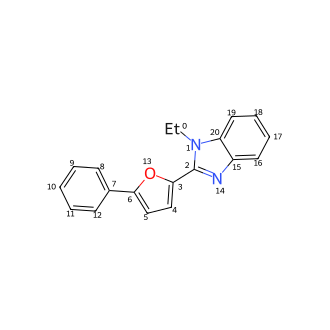 CCn1c(-c2ccc(-c3ccccc3)o2)nc2ccccc21